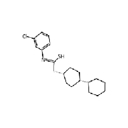 SC(C[C@H]1CC[C@@H](C2CCCCC2)CC1)=Nc1cccc(Cl)c1